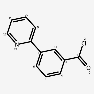 O=C(Cl)c1cccc(-c2ccccn2)c1